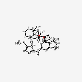 N#CC1CN(S(=O)(=O)N2[C@@H]3CCC[C@H]2CC(Nc2nc(Nc4ncc(CO)s4)cc4[nH]ccc24)C3)C1